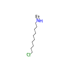 CCNCCCCCCCCCCCl